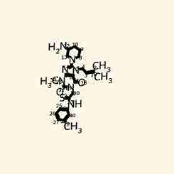 CC(C)=CCn1c(N2CCCC(N)C2)nc2c1c(=O)n(CC(=S)Nc1cccc(C)c1)c(=O)n2C